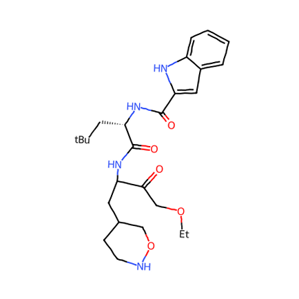 CCOCC(=O)C(CC1CCNOC1)NC(=O)[C@H](CC(C)(C)C)NC(=O)c1cc2ccccc2[nH]1